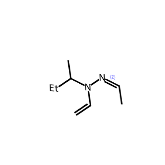 C=CN(/N=C\C)C(C)CC